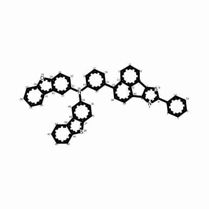 c1ccc(-c2nc3c(s2)-c2cccc4c(-c5cccc(N(c6ccc7oc8ccccc8c7c6)c6ccc7sc8ccccc8c7c6)c5)ccc-3c24)cc1